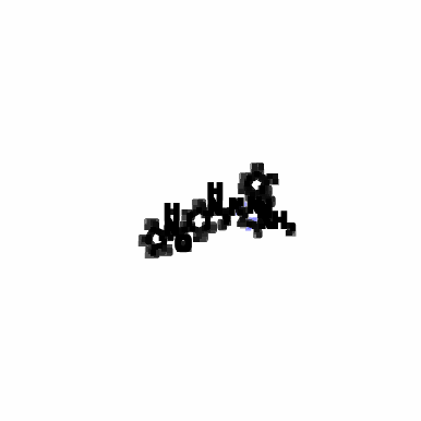 C=C(/N=C(\C=C/N)n1ncc2ccccc21)NC1CCC(C(=O)NC2CCCC2)CC1